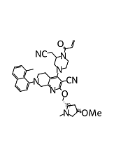 C=CC(=O)N1CCN(c2c(C#N)c(OC[C@@H]3C[C@@H](OC)CN3C)nc3c2CCN(c2cccc4cccc(C)c24)C3)CC1CC#N